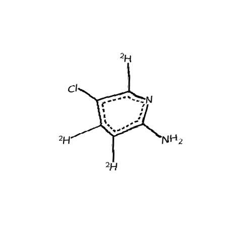 [2H]c1nc(N)c([2H])c([2H])c1Cl